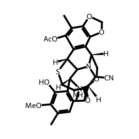 COc1c(C)cc2c(c1O)[C@@H]1C3[C@@H]4SCC(N)C(=O)OC[C@@H](c5c6c(c(C)c(OC(C)=O)c54)OCO6)N3C(C#N)[C@H](C2)N1C